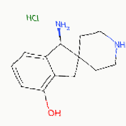 Cl.N[C@@H]1c2cccc(O)c2CC12CCNCC2